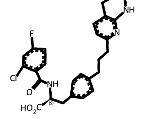 O=C(N[C@@H](Cc1ccc(CCCc2ccc3c(n2)NCCC3)cc1)C(=O)O)c1ccc(F)cc1Cl